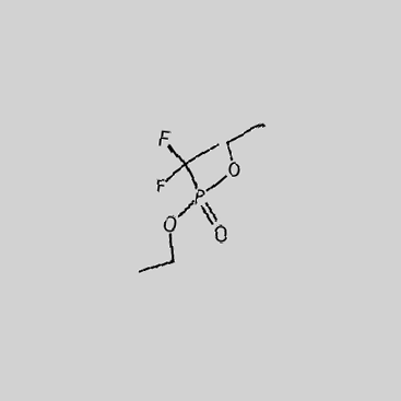 CCOP(=O)(OCC)C(C)(F)F